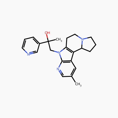 Cc1cnc2c(c1)c1c(n2CC(C)(O)c2cccnc2)CCN2CCCC12